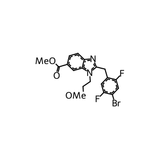 COCCn1c(Cc2cc(F)c(Br)cc2F)nc2ccc(C(=O)OC)cc21